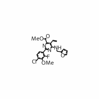 C=Cc1c(NCc2ccco2)nc(-c2ccc(Cl)c(OC)c2F)nc1C(=O)OC